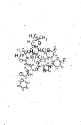 C[C@@H](C(=O)N[C@H](C(=O)N1C[C@@H](NC(=O)c2ccccc2)C[C@H]1CN(CCc1ccc(F)cc1)C(=O)c1cn(-c2ccc(F)cc2)cn1)C(C)(C)C)N(C)C(=O)OC(C)(C)C